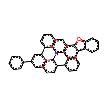 c1ccc(-c2cccc(-c3ccccc3N(c3ccc4c(c3)oc3ccccc34)c3ccccc3-c3ccccc3-c3ccccc3)c2)cc1